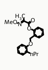 CCCc1ccccc1OCc1ccccc1OC(=O)C(C)=NOC